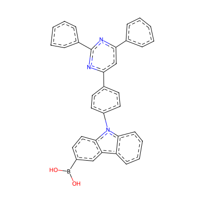 OB(O)c1ccc2c(c1)c1ccccc1n2-c1ccc(-c2cc(-c3ccccc3)nc(-c3ccccc3)n2)cc1